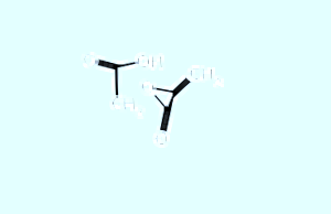 C=C1OC1=O.CC(=O)O